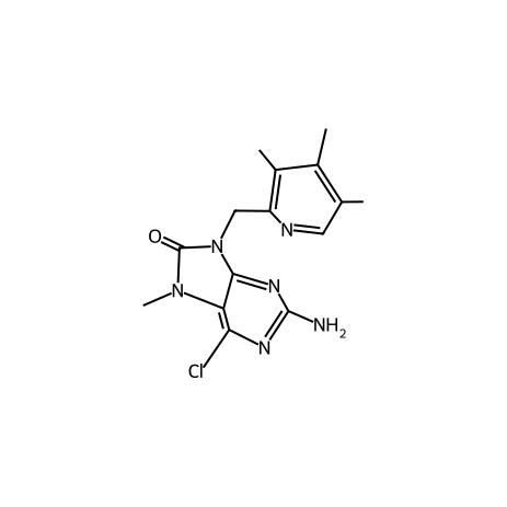 Cc1cnc(Cn2c(=O)n(C)c3c(Cl)nc(N)nc32)c(C)c1C